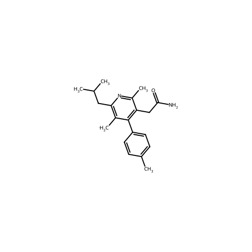 [CH2]c1c(CC(C)C)nc(C)c(CC(N)=O)c1-c1ccc(C)cc1